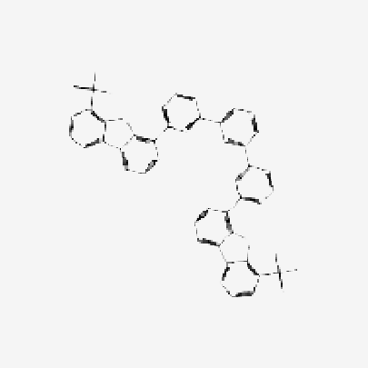 CC(C)(C)c1cccc2c1oc1c(-c3cccc(-c4cncc(-c5cccc(-c6cccc7c6oc6c(C(C)(C)C)cccc67)c5)c4)c3)cccc12